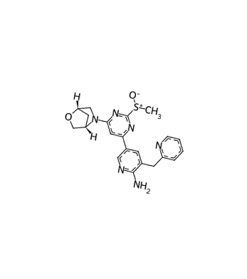 C[S+]([O-])c1nc(-c2cnc(N)c(Cc3ccccn3)c2)cc(N2C[C@@H]3C[C@H]2CO3)n1